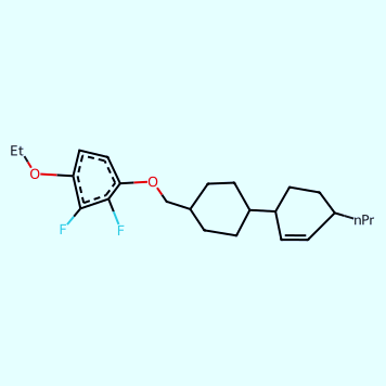 CCCC1C=CC(C2CCC(COc3ccc(OCC)c(F)c3F)CC2)CC1